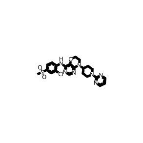 CS(=O)(=O)c1ccc(Nc2ncnc3c2OCCN3C2CCN(c3ncccn3)CC2)c(Cl)c1